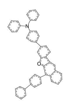 c1ccc(-c2ccc(-c3c4ccccc4cc4c3oc3cc(-c5ccc(N(c6ccccc6)c6ccccc6)cc5)ccc34)cc2)cc1